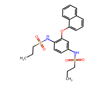 CCCS(=O)(=O)Nc1ccc(NS(=O)(=O)CCC)c(Oc2cccc3ccccc23)c1